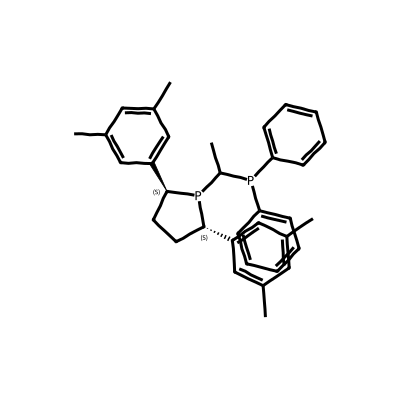 Cc1cc(C)cc([C@@H]2CC[C@@H](c3cc(C)cc(C)c3)P2C(C)P(c2ccccc2)c2ccccc2)c1